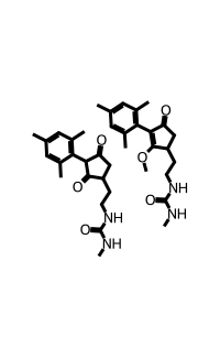 CNC(=O)NCCC1CC(=O)C(c2c(C)cc(C)cc2C)=C1OC.CNC(=O)NCCC1CC(=O)C(c2c(C)cc(C)cc2C)C1=O